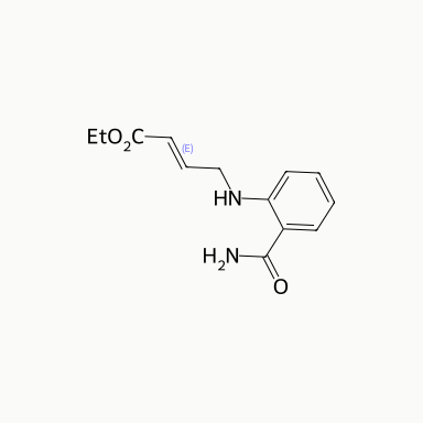 CCOC(=O)/C=C/CNc1ccccc1C(N)=O